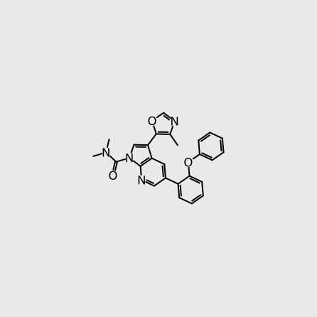 Cc1ncoc1-c1cn(C(=O)N(C)C)c2ncc(-c3ccccc3Oc3ccccc3)cc12